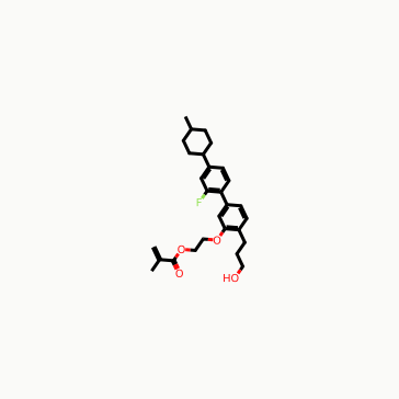 C=C(C)C(=O)OCCOc1cc(-c2ccc(C3CCC(C)CC3)cc2F)ccc1CCCO